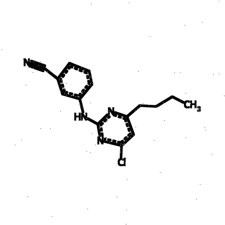 CCCCc1cc(Cl)nc(Nc2cccc(C#N)c2)n1